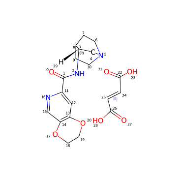 O=C(N[C@H]1CN2CCC1CC2)c1cc2c(cn1)OCCO2.O=C(O)/C=C/C(=O)O